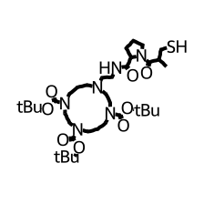 CC(CS)C(=O)N1CCCC1C(=O)NCCN1CCCN(C(=O)OC(C)(C)C)CCN(C(=O)OC(C)(C)C)CCCN(C(=O)OC(C)(C)C)CC1